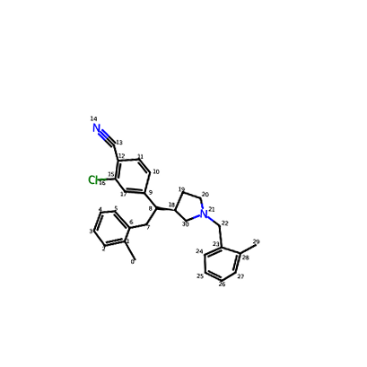 Cc1ccccc1CC(c1ccc(C#N)c(Cl)c1)[C@H]1CCN(Cc2ccccc2C)C1